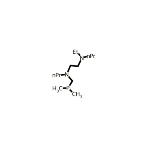 CCCN(CC)CCN(CCC)CP(C)C